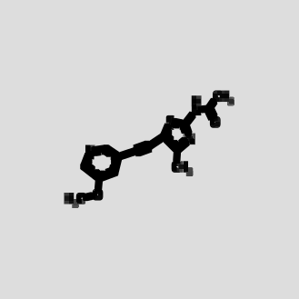 COc1cncc(C#Cc2sc(NC(C)=O)nc2C)c1